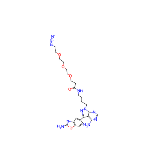 [N-]=[N+]=NCCOCCOCCOCCC(=O)NCCCCn1nc(-c2ccc3oc(N)nc3c2)c2c(N)ncnc21